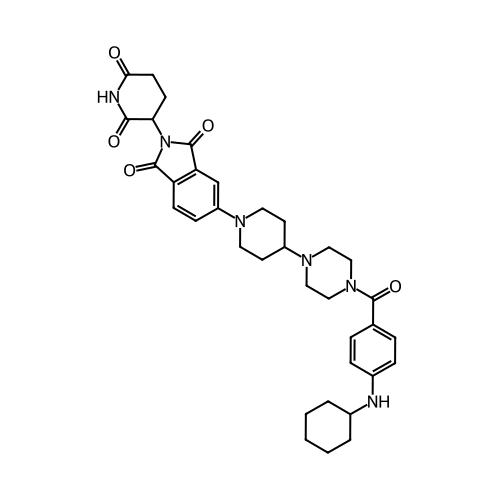 O=C1CCC(N2C(=O)c3ccc(N4CCC(N5CCN(C(=O)c6ccc(NC7CCCCC7)cc6)CC5)CC4)cc3C2=O)C(=O)N1